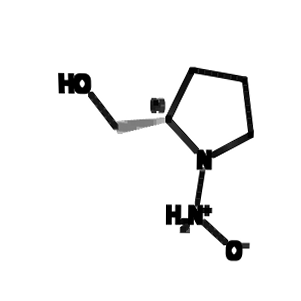 [O-][NH2+]N1CCC[C@H]1CO